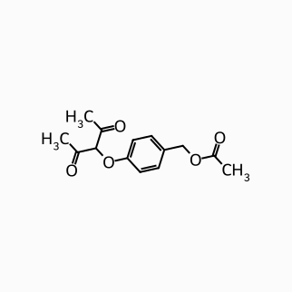 CC(=O)OCc1ccc(OC(C(C)=O)C(C)=O)cc1